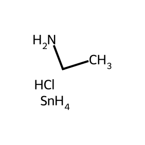 CCN.Cl.[SnH4]